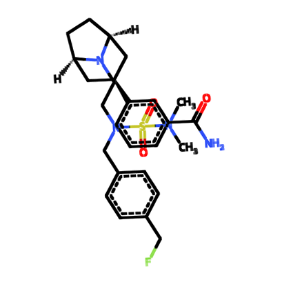 CN(C)S(=O)(=O)N(CCN1[C@@H]2CC[C@H]1C[C@@H](c1cccc(C(N)=O)c1)C2)Cc1ccc(CF)cc1